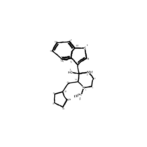 CCCN1CCNC(O)(c2csc3ccccc23)C1CC1CCCC1